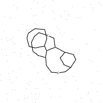 C1CCCC(C2C3CCCCCCCC2C2CCC(CCCC3)CC2)CCC1